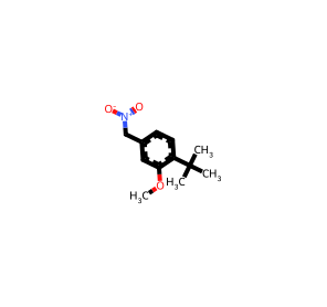 COc1cc(C[N+](=O)[O-])ccc1C(C)(C)C